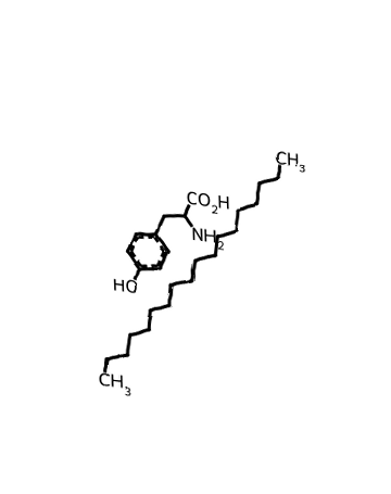 CCCCCCCCCCCCCCCCCC.NC(Cc1ccc(O)cc1)C(=O)O